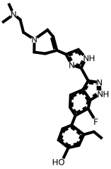 CCc1cc(O)ccc1-c1ccc2c(-c3nc(C4=CCN(CCN(C)C)CC4)c[nH]3)n[nH]c2c1F